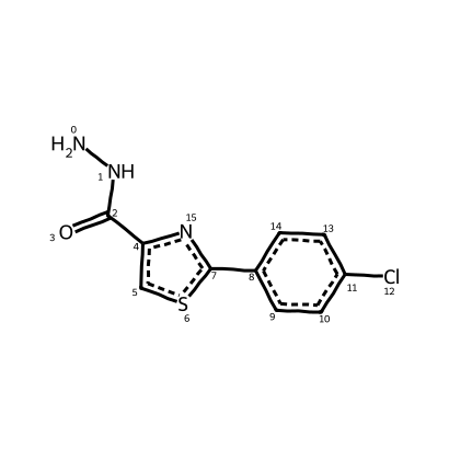 NNC(=O)c1csc(-c2ccc(Cl)cc2)n1